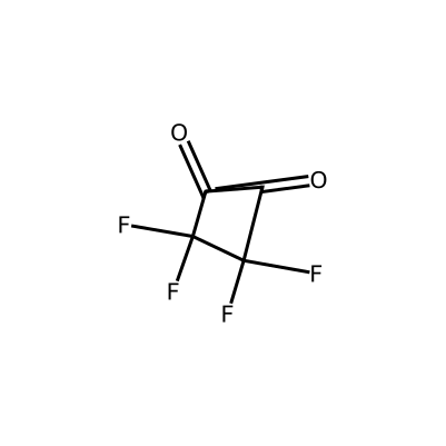 O=C1C(=O)C(F)(F)C1(F)F